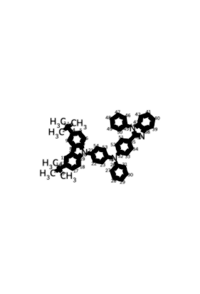 CC(C)(C)c1ccc2c(c1)c1cc(C(C)(C)C)ccc1n2-c1ccc(N(c2ccccc2)c2ccc(-c3nc4ccccc4n3-c3ccccc3)cc2)cc1